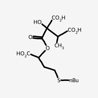 CCCCSCCC(OC(=O)C(O)(C(=O)O)C(C)C(=O)O)C(=O)O